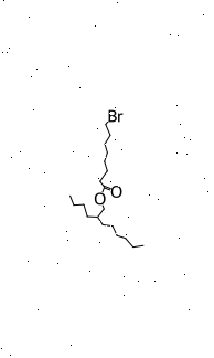 CCCCCCC(CCCC)COC(=O)CCCCCCCBr